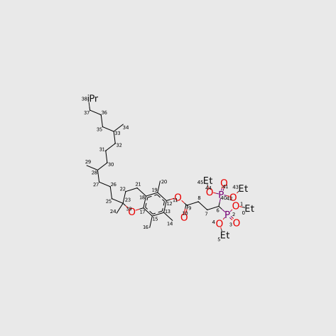 CCOP(=O)(OCC)C(CCC(=O)Oc1c(C)c(C)c2c(c1C)CCC(C)(CCCC(C)CCCC(C)CCCC(C)C)O2)P(=O)(OCC)OCC